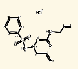 C=CCNC(=O)ON(CC=C)NS(=O)(=O)c1ccccc1.Cl